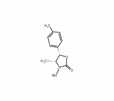 Cc1ccc([C@@H]2OC(=O)N(C(C)(C)C)[C@@H]2C)cc1